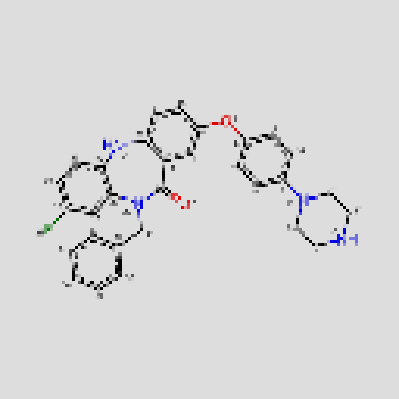 O=C1c2cc(Oc3ccc(N4CCNCC4)cc3)ccc2Nc2ccc(F)cc2N1Cc1ccccc1